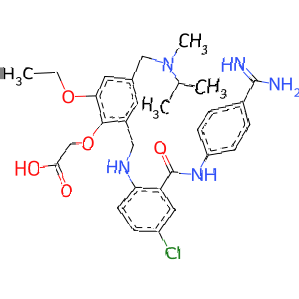 CCOc1cc(CN(C)C(C)C)cc(CNc2ccc(Cl)cc2C(=O)Nc2ccc(C(=N)N)cc2)c1OCC(=O)O